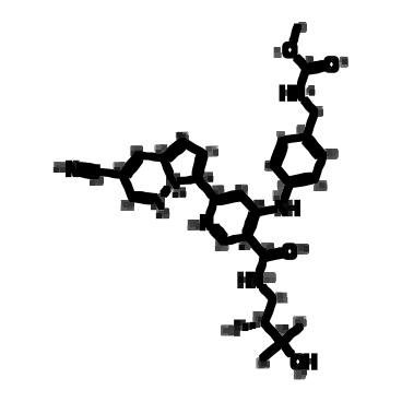 COC(=O)NCc1ccc(Nc2cc(-c3ccc4cc(C#N)cnn34)ncc2C(=O)NC[C@@H](F)C(C)(C)O)cc1